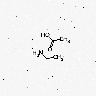 CC(=O)O.[CH2]CN